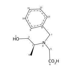 C[C@@H](CO)N(CC(=O)O)Cc1ccccc1